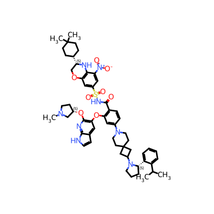 CC(C)c1ccccc1[C@@H]1CCCN1C1CC2(CCN(c3ccc(C(=O)NS(=O)(=O)c4cc5c(c([N+](=O)[O-])c4)N[C@@H](C4CCC(C)(C)CC4)CO5)c(Oc4cc5cc[nH]c5nc4O[C@H]4CCN(C)C4)c3)CC2)C1